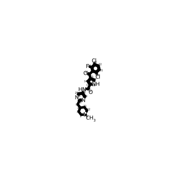 CN1CCC(Cc2ncc(NC(=O)c3cc(C(=O)c4c(Cl)ccc(Cl)c4F)c[nH]3)cn2)CC1